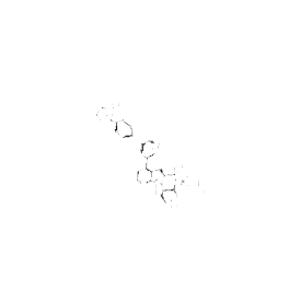 CN(C(=O)c1cc2c(-c3cncc(-c4ccc(N5CCCC5=O)cc4)c3)ccnc2[nH]1)c1cccnc1